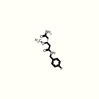 CO[C@H](CC(N)=O)CC(=O)NCc1ccc(F)cc1